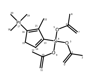 C=C(C)O[Si](OC(=C)C)(OC(=C)C)C1=CC[C]([Pt]([CH3])([CH3])[CH3])=C1C